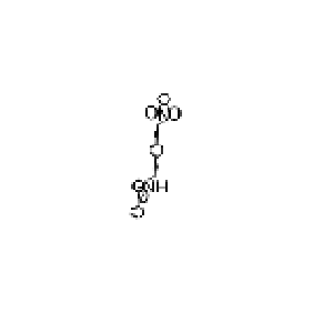 O=C(NCCC#Cc1ccc(C#CCCN2C(=O)c3ccccc3C2=O)cc1)OCc1ccccc1